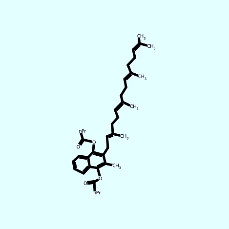 CCCC(=O)Oc1c(C)c(C/C=C(\C)CC/C=C(\C)CC/C=C(\C)CCC=C(C)C)c(OC(=O)CCC)c2ccccc12